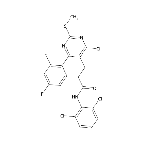 CSc1nc(Cl)c(CCC(=O)Nc2c(Cl)cccc2Cl)c(-c2ccc(F)cc2F)n1